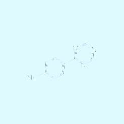 N#Cc1ccc(-c2ncncn2)cc1